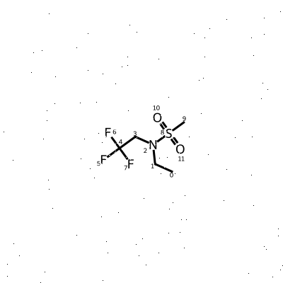 CCN(CC(F)(F)F)S(C)(=O)=O